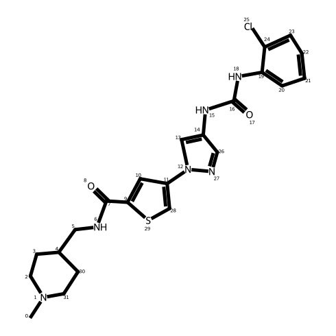 CN1CCC(CNC(=O)c2cc(-n3cc(NC(=O)Nc4ccccc4Cl)cn3)cs2)CC1